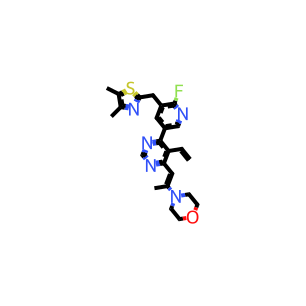 C=Cc1c(/C=C(\C)N2CCOCC2)ncnc1-c1cnc(F)c(Cc2nc(C)c(C)s2)c1